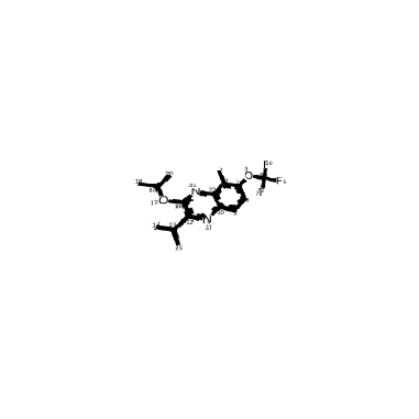 Cc1c(OC(F)(F)F)ccc2nc(C(C)C)c(OC(C)C)nc12